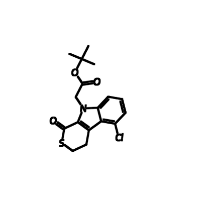 CC(C)(C)OC(=O)Cn1c2c(c3c(Cl)cccc31)CCSC2=O